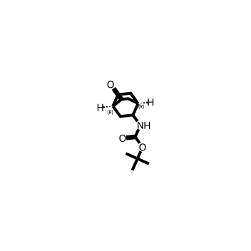 CC(C)(C)OC(=O)NC1C[C@H]2CC[C@@H]1CC2=O